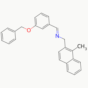 Cc1c(CN=Cc2cccc(OCc3ccccc3)c2)ccc2ccccc12